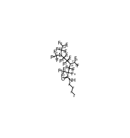 CCCCNC(=O)C(F)(C(F)(F)F)C(F)(F)C(C(F)F)C(F)(F)C(F)(F)N(C(F)(F)F)C(F)(F)C(F)F